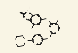 Cc1cnc(Nc2ccc(N3CCOCC3)nc2)nc1Nc1cc(F)c2oc(=O)[nH]c2c1